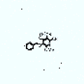 CCCOc1c(C#N)c(C#N)cc(OC)c1OCc1ccccc1